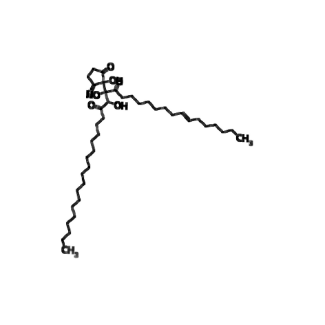 CCCCCC/C=C/CCCCCCCC(=O)C(O)(C(O)C(=O)CCCCCCCCCCCCCCCCC)C1(O)C(=O)CCC1=O